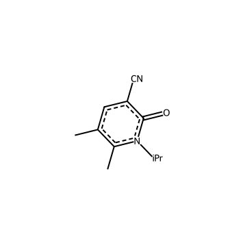 Cc1cc(C#N)c(=O)n(C(C)C)c1C